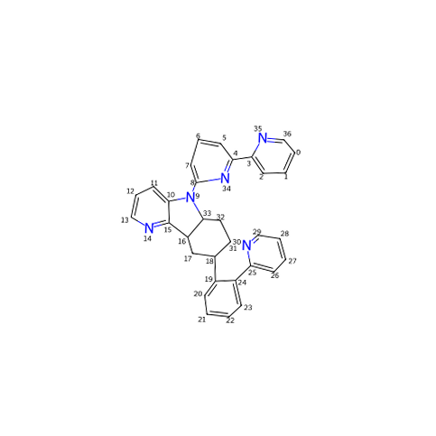 c1ccc(-c2cccc(N3c4cccnc4C4CC(c5ccccc5-c5ccccn5)CCC43)n2)nc1